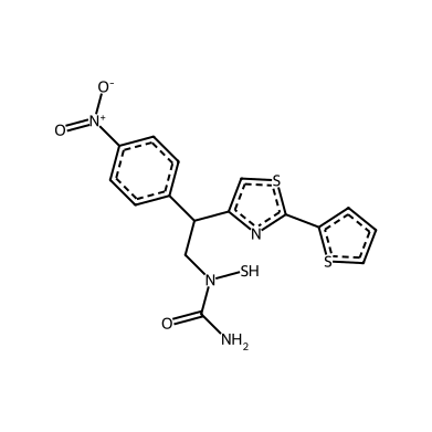 NC(=O)N(S)CC(c1ccc([N+](=O)[O-])cc1)c1csc(-c2cccs2)n1